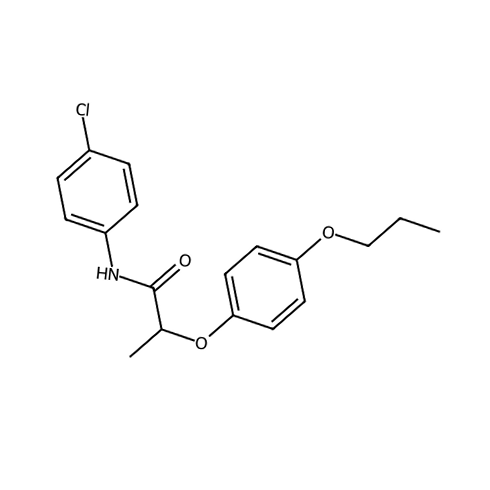 CCCOc1ccc(OC(C)C(=O)Nc2ccc(Cl)cc2)cc1